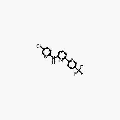 FC(F)(F)c1ccc(-c2cccc(Nc3ccc(Cl)cn3)n2)nc1